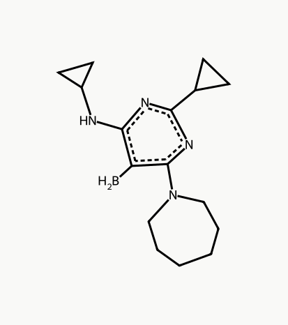 Bc1c(NC2CC2)nc(C2CC2)nc1N1CCCCCC1